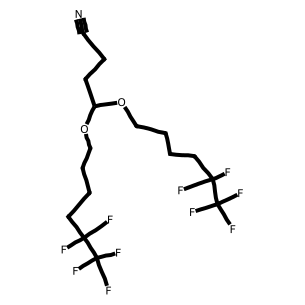 N#CCCC(OCCCCC(F)(F)C(F)(F)F)OCCCCC(F)(F)C(F)(F)F